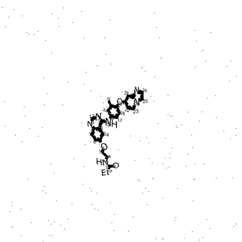 CCC(=O)NCCOc1ccc2ncnc(Nc3ccc(Oc4ccn5ccnc5c4)c(C)c3)c2c1